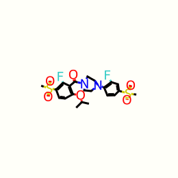 CC(C)Oc1ccc(S(C)(=O)=O)c(F)c1C(=O)N1CCN(c2ccc(S(C)(=O)=O)cc2F)CC1